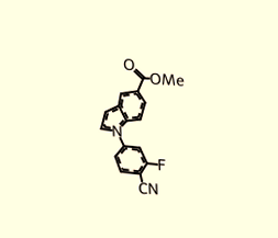 COC(=O)c1ccc2c(ccn2-c2ccc(C#N)c(F)c2)c1